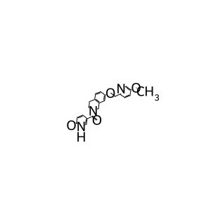 COc1ccc(COc2ccc3c(c2)CN(C(=O)c2ccc(=O)[nH]c2)CC3)nc1